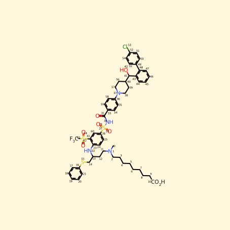 CN(CCCCCCCCC(=O)O)CCC(CSc1ccccc1)Nc1ccc(S(=O)(=O)NC(=O)c2ccc(N3CCC(C(O)c4ccccc4-c4ccc(Cl)cc4)CC3)cc2)cc1S(=O)(=O)C(F)(F)F